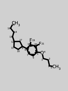 CCCCOc1ccc(C2CCC(CCCC)C2)c(F)c1F